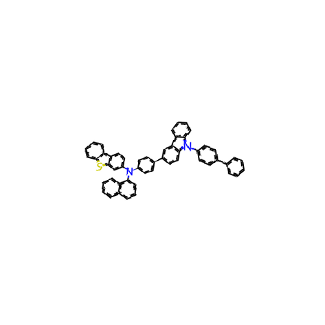 c1ccc(-c2ccc(-n3c4ccccc4c4cc(-c5ccc(N(c6ccc7c(c6)sc6ccccc67)c6cccc7ccccc67)cc5)ccc43)cc2)cc1